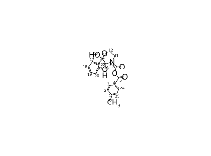 Cc1ccc(C(=O)OC(=O)N2CCOC(O)(c3ccccc3)C2O)cc1